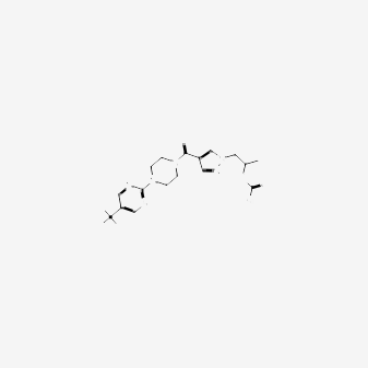 CC(Cn1cc(C(=O)N2CCN(c3ncc(C(F)(F)F)cn3)CC2)cn1)OC(N)=O